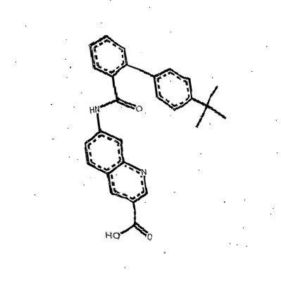 CC(C)(C)c1ccc(-c2ccccc2C(=O)Nc2ccc3cc(C(=O)O)cnc3c2)cc1